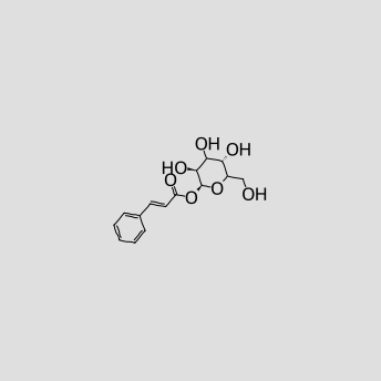 O=C(/C=C/c1ccccc1)O[C@@H]1OC(CO)[C@@H](O)C(O)[C@@H]1O